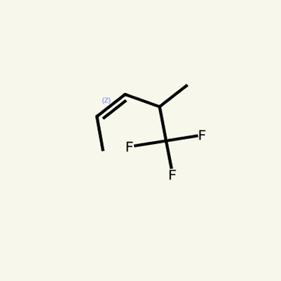 C/C=C\C(C)C(F)(F)F